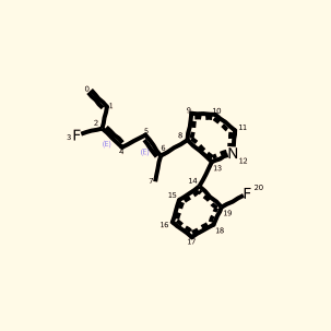 C=C/C(F)=C\C=C(/C)c1cccnc1-c1ccccc1F